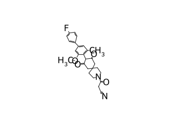 COc1cc(-c2ccc(F)cc2)cc(C)c1C1C(=O)CC2(CCN(C(=O)CC#N)CC2)CC1=O